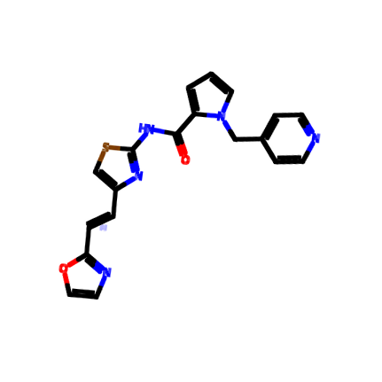 O=C(Nc1nc(/C=C/c2ncco2)cs1)c1cccn1Cc1ccncc1